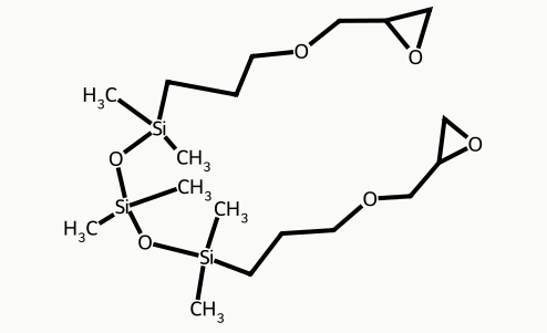 C[Si](C)(CCCOCC1CO1)O[Si](C)(C)O[Si](C)(C)CCCOCC1CO1